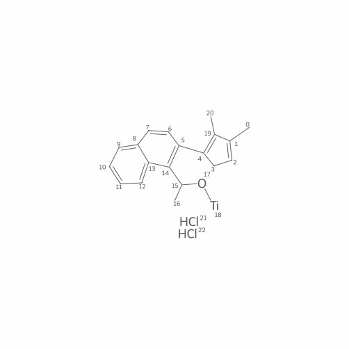 CC1=CCC(c2ccc3ccccc3c2C(C)[O][Ti])=C1C.Cl.Cl